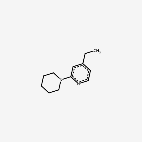 CCc1ccnc(N2CCCCC2)c1